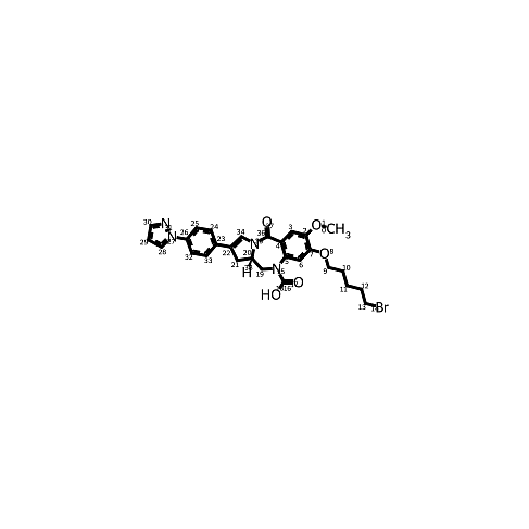 COc1cc2c(cc1OCCCCCBr)N(C(=O)O)C[C@@H]1CC(c3ccc(-n4cccn4)cc3)=CN1C2=O